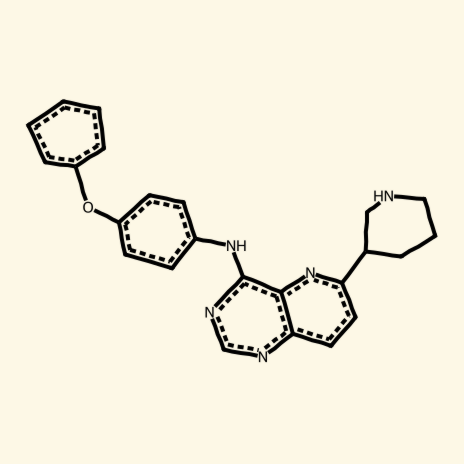 c1ccc(Oc2ccc(Nc3ncnc4ccc(C5CCCNC5)nc34)cc2)cc1